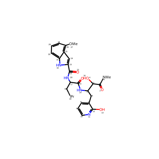 CNC(=O)C(O)C(Cc1cccnc1O)NC(=O)C(CC(C)C)NC(=O)c1cc2c(OC)cccc2[nH]1